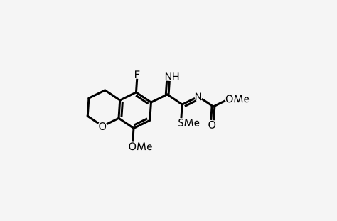 COC(=O)/N=C(\SC)C(=N)c1cc(OC)c2c(c1F)CCCO2